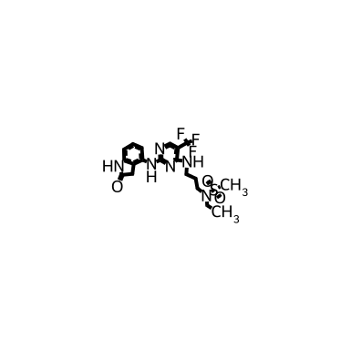 CCN(CCCNc1nc(Nc2cccc3c2CC(=O)N3)ncc1C(F)(F)F)S(C)(=O)=O